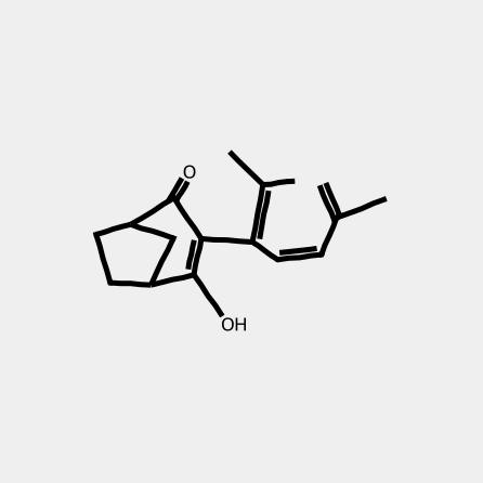 C=C(C)/C=C\C(=C(C)C)C1=C(O)C2CCC(C2)C1=O